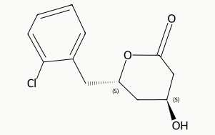 O=C1C[C@@H](O)C[C@H](Cc2ccccc2Cl)O1